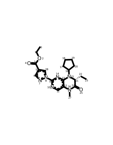 CCOC(=O)c1cnn(-c2ncc3c(n2)N(C2CCCC2)[C@H](CC)C(=O)N3C)c1